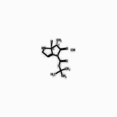 C[C@@H]1C(=O)N(C(=O)OC(C)(C)C)C2=CCN[C@@H]21.Cl